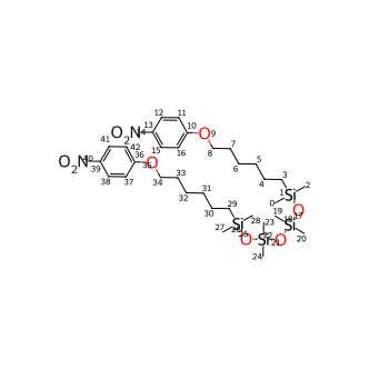 C[Si](C)(CCCCCCOc1ccc([N+](=O)[O-])cc1)O[Si](C)(C)O[Si](C)(C)O[Si](C)(C)CCCCCCOc1ccc([N+](=O)[O-])cc1